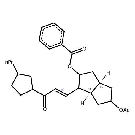 CCCC1CCC(C(=O)/C=C/C2C(OC(=O)c3ccccc3)C[C@H]3CC(OC(C)=O)C[C@@H]23)C1